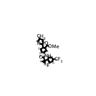 COC(=O)c1cc(NC(=O)C2(c3ccc(C(F)(F)F)cc3F)CC2)ccc1-c1ccc(C)cn1